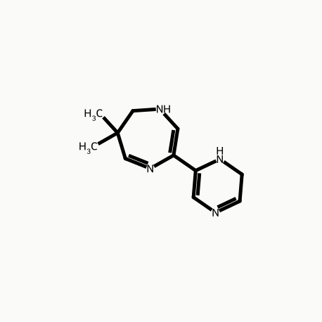 CC1(C)C=NC(C2=CN=CCN2)=CNC1